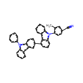 Cc1cc(C#N)ccc1-n1c2ccccc2c2c(-c3ccc4c(c3)c3ccccc3n4-c3ccccc3)cccc21